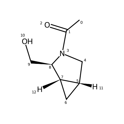 CC(=O)N1C[C@@H]2C[C@@H]2[C@H]1CO